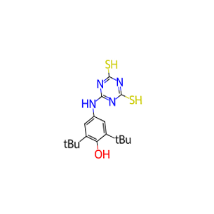 CC(C)(C)c1cc(Nc2nc(S)nc(S)n2)cc(C(C)(C)C)c1O